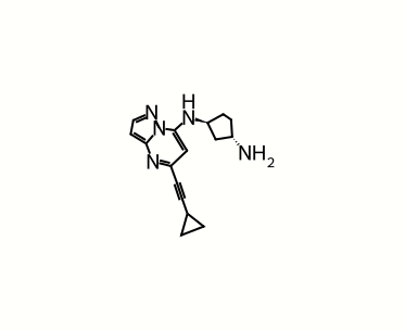 N[C@H]1CC[C@H](Nc2cc(C#CC3CC3)nc3ccnn23)C1